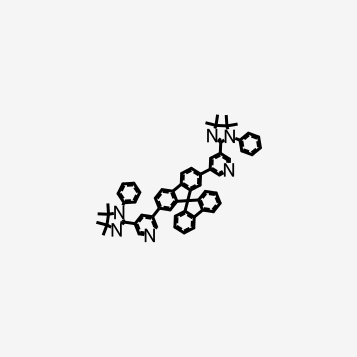 CC1(C)N=C(c2cncc(-c3ccc4c(c3)C3(c5ccccc5-c5ccccc53)c3cc(-c5cncc(C6=NC(C)(C)C(C)(C)N6c6ccccc6)c5)ccc3-4)c2)N(c2ccccc2)C1(C)C